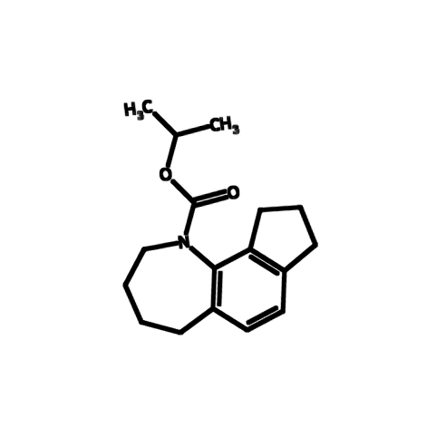 CC(C)OC(=O)N1CCCCc2ccc3c(c21)CCC3